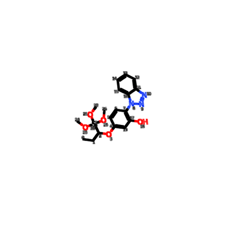 CCC(Oc1ccc(-n2nnc3ccccc32)c(O)c1)[Si](OC)(OC)OC